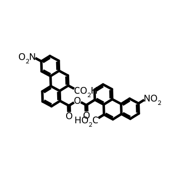 O=C(O)c1cc2ccc([N+](=O)[O-])cc2c2cccc(C(=O)OC(=O)c3cccc4c3c(C(=O)O)cc3ccc([N+](=O)[O-])cc34)c12